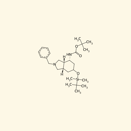 CC(C)(C)OC(=O)N[C@@H]1CC(O[Si](C)(C)C(C)(C)C)C[C@@H]2CN(Cc3ccccc3)C[C@@H]21